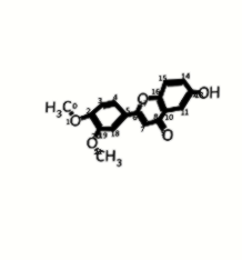 COc1ccc(-c2cc(=O)c3cc(O)ccc3o2)cc1OC